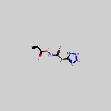 C=CC(=O)ONC(=S)Sc1nnn[nH]1